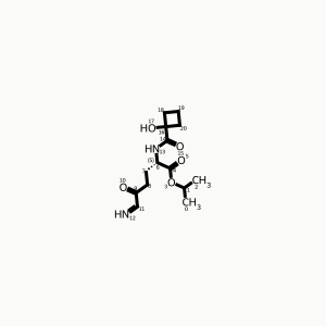 CC(C)OC(=O)[C@H](CCC(=O)C=N)NC(=O)C1(O)CCC1